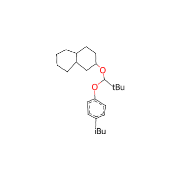 CCC(C)c1ccc(OC(OC2CCC3CCCCC3C2)C(C)(C)C)cc1